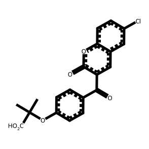 CC(C)(Oc1ccc(C(=O)c2cc3cc(Cl)ccc3oc2=O)cc1)C(=O)O